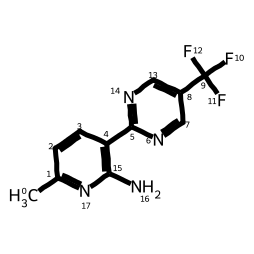 Cc1ccc(-c2ncc(C(F)(F)F)cn2)c(N)n1